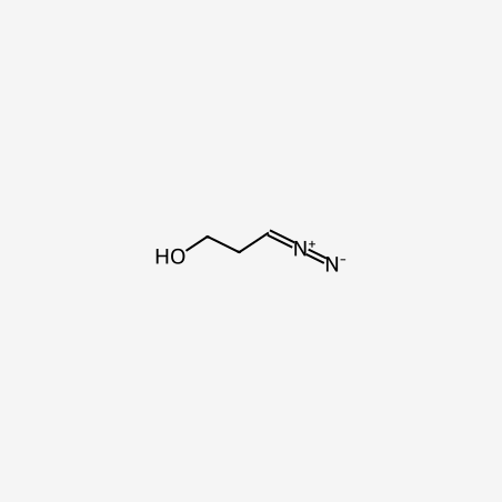 [N-]=[N+]=CCCO